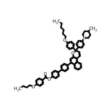 CCCCCCOc1ccc(C2(c3ccc(N4CCC(C)CC4)cc3)C=Cc3c(cc(-c4ccc(-c5ccc(OC(=O)c6ccc(OCCCC)cc6)cc5)cc4)c4ccccc34)O2)cc1